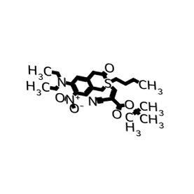 CCCCS1(/C=C(\C#N)C(=O)OC(C)(C)C)Cc2cc([N+](=O)[O-])c(N(CC)CC)cc2CC1=O